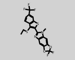 CCSc1c(-c2nc3cc4c(cc3n2C)OC(F)(F)O4)sc2cc(C(F)(F)F)ccc12